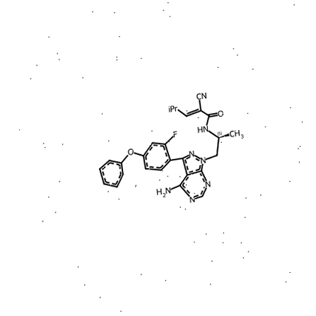 CC(C)C=C(C#N)C(=O)N[C@@H](C)Cn1nc(-c2ccc(Oc3ccccc3)cc2F)c2c(N)ncnc21